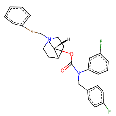 O=C(O[C@H]1C[N+]2(CSc3ccccc3)CCC1CC2)N(Cc1ccc(F)cc1)c1cccc(F)c1